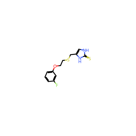 Fc1cccc(OCCSCc2c[nH]c(=S)[nH]2)c1